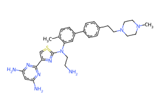 Cc1ccc(-c2ccc(CCN3CCN(C)CC3)cc2)cc1N(CCN)c1nc(-c2nc(N)cc(N)n2)cs1